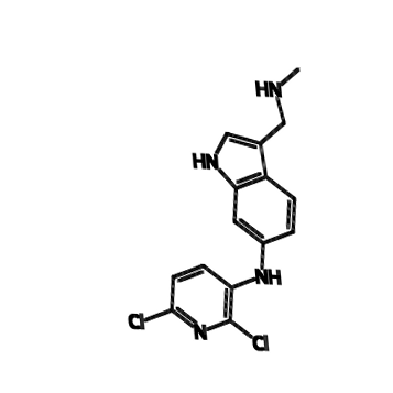 CNCc1c[nH]c2cc(Nc3ccc(Cl)nc3Cl)ccc12